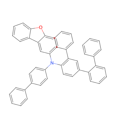 c1ccc(-c2ccc(N(c3ccc4oc5ccccc5c4c3)c3ccc(-c4ccccc4-c4ccccc4)cc3-c3ccccc3)cc2)cc1